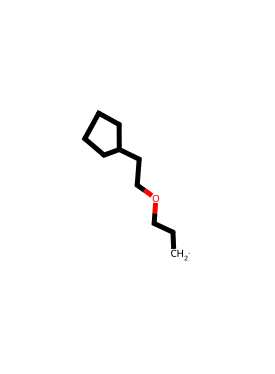 [CH2]CCOCCC1CCCC1